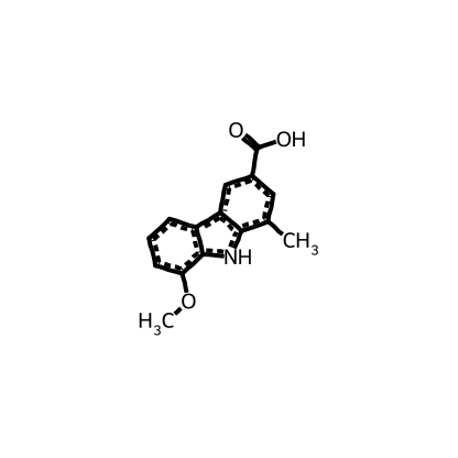 COc1cccc2c1[nH]c1c(C)cc(C(=O)O)cc12